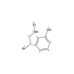 CCNCCC(C)C.Oc1ccccc1